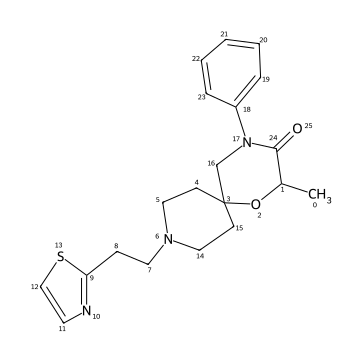 CC1OC2(CCN(CCc3nccs3)CC2)CN(c2ccccc2)C1=O